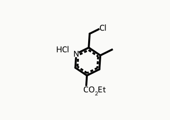 CCOC(=O)c1cnc(CCl)c(C)c1.Cl